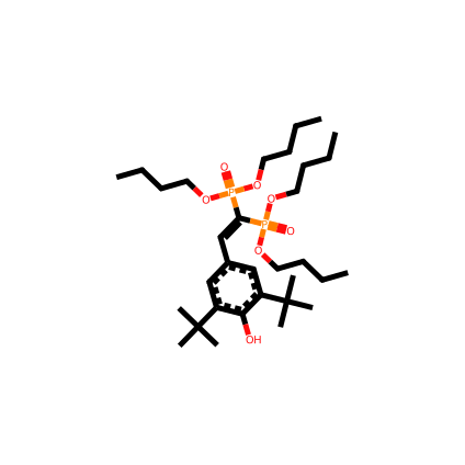 CCCCOP(=O)(OCCCC)C(=Cc1cc(C(C)(C)C)c(O)c(C(C)(C)C)c1)P(=O)(OCCCC)OCCCC